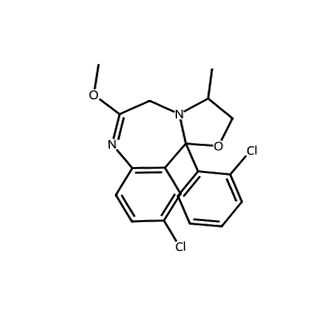 COC1=Nc2ccc(Cl)cc2C2(c3ccccc3Cl)OCC(C)N2C1